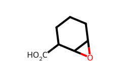 O=C(O)C1CCCC2OC21